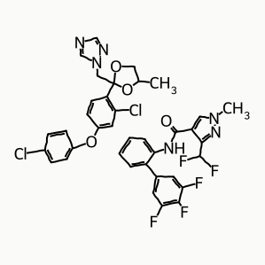 CC1COC(Cn2cncn2)(c2ccc(Oc3ccc(Cl)cc3)cc2Cl)O1.Cn1cc(C(=O)Nc2ccccc2-c2cc(F)c(F)c(F)c2)c(C(F)F)n1